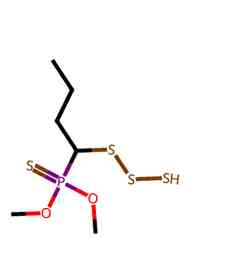 CCCC(SSS)P(=S)(OC)OC